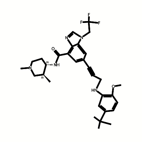 COc1ccc(C(C)(C)C)cc1NCC#Cc1cc(C(=O)N[C@H]2CCN(C)C[C@@H]2C)c2ncn(CC(F)(F)F)c2c1